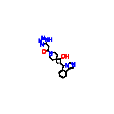 O=C(Cc1nnn[nH]1)N1CCC2(CC1)C[C@@H]([C@H]1c3ccccc3-c3cncn31)[C@H]2O